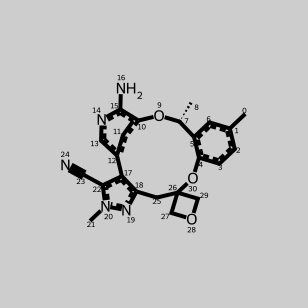 Cc1ccc2c(c1)[C@@H](C)Oc1cc(cnc1N)-c1c(nn(C)c1C#N)CC1(COC1)O2